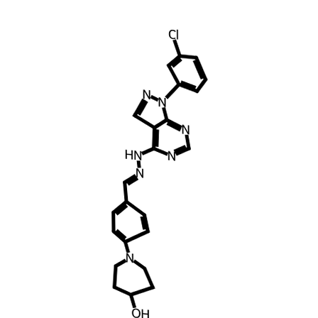 OC1CCN(c2ccc(/C=N/Nc3ncnc4c3cnn4-c3cccc(Cl)c3)cc2)CC1